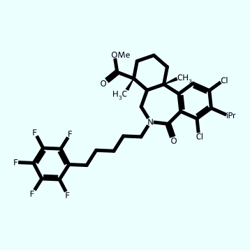 COC(=O)[C@]1(C)CCC[C@]2(C)c3cc(Cl)c(C(C)C)c(Cl)c3C(=O)N(CCCCCc3c(F)c(F)c(F)c(F)c3F)CC12